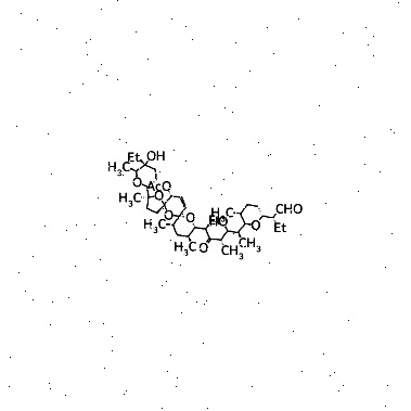 CC[C@@H](C=O)[C@H]1CC[C@H](C)[C@H]([C@@H](C)[C@H](O)[C@H](C)C(=O)[C@H](CC)[C@H]2O[C@]3(C=C[C@@H](OC(C)=O)[C@]4(CC[C@@](C)([C@H]5CC[C@](O)(CC)[C@H](C)O5)O4)O3)[C@H](C)C[C@@H]2C)O1